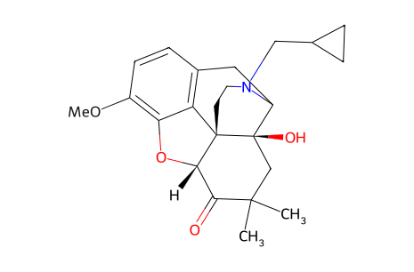 COc1ccc2c3c1O[C@H]1C(=O)C(C)(C)C[C@@]4(O)C(C2)N(CC2CC2)CC[C@]314